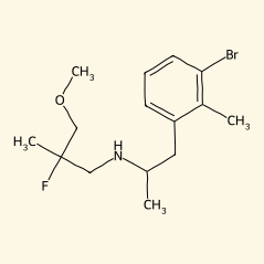 COCC(C)(F)CNC(C)Cc1cccc(Br)c1C